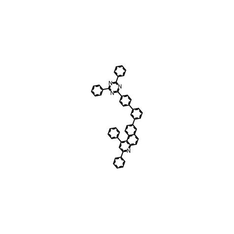 c1ccc(-c2cc(-c3ccccc3)c3c(ccc4cc(-c5cccc(-c6ccc(-c7nc(-c8ccccc8)nc(-c8ccccc8)n7)cc6)c5)ccc43)n2)cc1